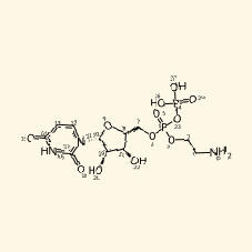 NCCOP(=O)(OC[C@@H]1O[C@@H](n2ccc(=O)[nH]c2=O)[C@H](O)[C@@H]1O)OP(=O)(O)O